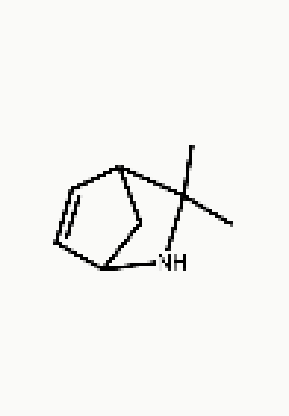 CC1(C)NC2C=CC1C2